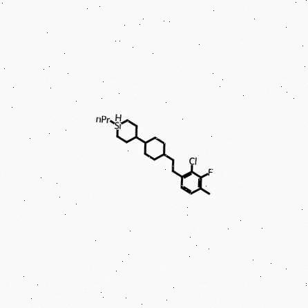 CCC[SiH]1CCC(C2CCC(CCc3ccc(C)c(F)c3Cl)CC2)CC1